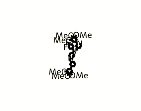 COc1cc(-c2cccc(CN3CCC(N(Cc4ccnc(-c5cc(OC)c(OC)c(OC)c5)c4)c4ccc(F)c(F)c4)CC3)c2)cc(OC)c1OC